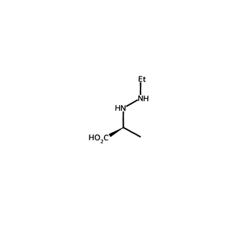 [CH2]CNN[C@@H](C)C(=O)O